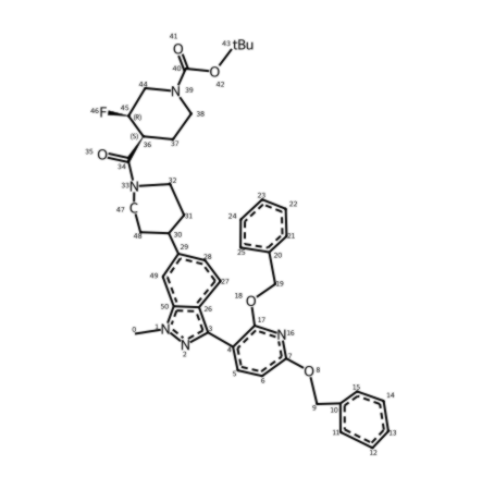 Cn1nc(-c2ccc(OCc3ccccc3)nc2OCc2ccccc2)c2ccc(C3CCN(C(=O)[C@@H]4CCN(C(=O)OC(C)(C)C)C[C@@H]4F)CC3)cc21